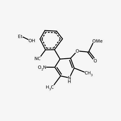 CCO.COC(=O)OC1=C(C)NC(C)=C([N+](=O)[O-])C1c1ccccc1C#N